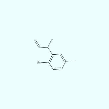 [CH2]C(C=C)c1cc(C)ccc1CC